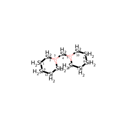 [SiH2]1[SiH2][SiH2]B([SiH2]B2[SiH2][SiH2][SiH2][SiH2][SiH2]2)[SiH2][SiH2]1